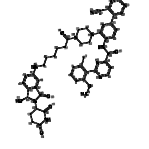 COc1cccc(F)c1-c1nccc(C(=O)Nc2ccc(-c3cnccc3C#N)cc2N2CCN(C(=O)CCCCCNc3ccc4c(c3)C(=O)N(C3CCC(=O)NC3=O)C4O)CC2)n1